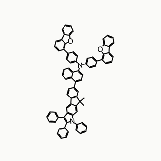 CC1(C)c2cc(-c3ccc(N(c4ccc(-c5cccc6c5oc5ccccc56)cc4)c4ccc(-c5cccc6c5oc5ccccc56)cc4)c4ccccc34)ccc2-c2cc3c(-c4ccccc4)c(-c4ccccc4)n(-c4ccccc4)c3cc21